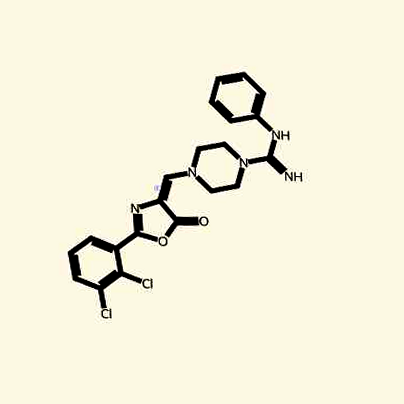 N=C(Nc1ccccc1)N1CCN(/C=C2/N=C(c3cccc(Cl)c3Cl)OC2=O)CC1